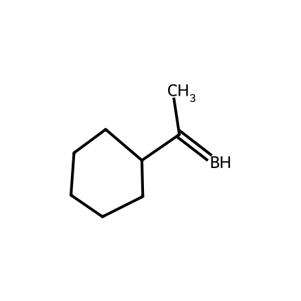 B=C(C)C1CCCCC1